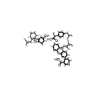 CC(C)Cc1ccc(C(C)C(=O)O)cc1.CC(CN1c2ccccc2Sc2ccccc21)N(C)C.COc1cccc([C@@]2(O)CCCC[C@@H]2CN(C)C)c1.O=C(O)c1cccnc1